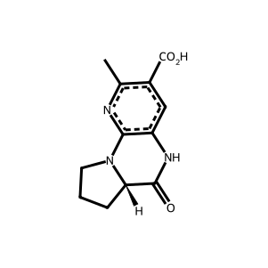 Cc1nc2c(cc1C(=O)O)NC(=O)[C@@H]1CCCN21